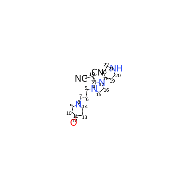 N#CC(C#N)=C1N(CCCN2CCC(=O)CC2)CCN1C1CCNCC1